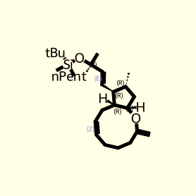 C=C1CCC/C=C\C[C@@H]2[C@@H](/C=C/[C@@](C)(CCCCC)O[Si](C)(C)C(C)(C)C)[C@H](C)C[C@@H]2O1